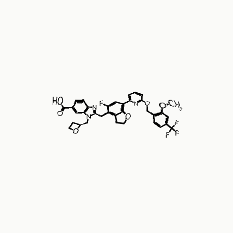 COc1cc(C(F)(F)F)ccc1COc1cccc(-c2cc(F)c(Cc3nc4ccc(C(=O)O)cc4n3C[C@@H]3CCO3)c3c2OCC3)n1